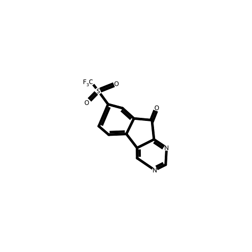 O=C1c2cc(S(=O)(=O)C(F)(F)F)ccc2-c2cncnc21